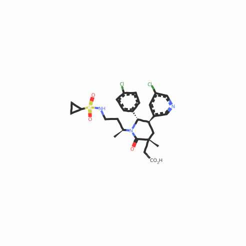 C[C@@H](CCNS(=O)(=O)C1CC1)N1C(=O)[C@@](C)(CC(=O)O)C[C@H](c2cncc(Cl)c2)[C@H]1c1ccc(Cl)cc1